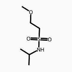 COCCS(=O)(=O)NC(C)C